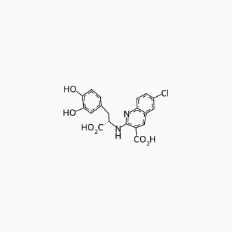 O=C(O)c1cc2cc(Cl)ccc2nc1N[C@@H](Cc1ccc(O)c(O)c1)C(=O)O